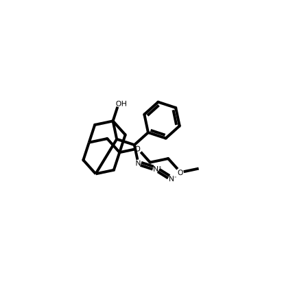 COCCOC12CC3CC(C1)C(C(N=[N+]=[N-])c1ccccc1)C(O)(C3)C2